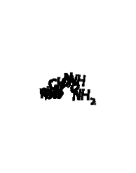 C[C@H]1CCC[C@](C)(CNc2cccc(-c3cc(N[C@H]4CC[C@H](N)CC4)ncc3Cl)n2)O1